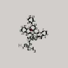 COc1nc2ccccc2cc1C(c1ccc(-c2ccccc2)cc1)C(O)(CCCCN(C)C)c1ccc2ccccc2c1